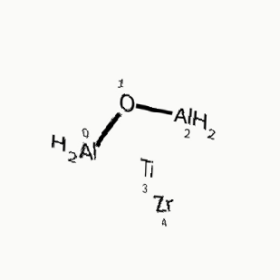 [AlH2][O][AlH2].[Ti].[Zr]